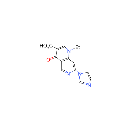 CCn1cc(C(=O)O)c(=O)c2cnc(-n3ccnc3)cc21